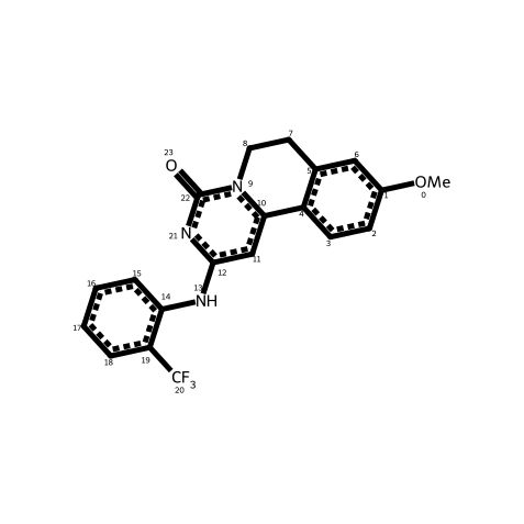 COc1ccc2c(c1)CCn1c-2cc(Nc2ccccc2C(F)(F)F)nc1=O